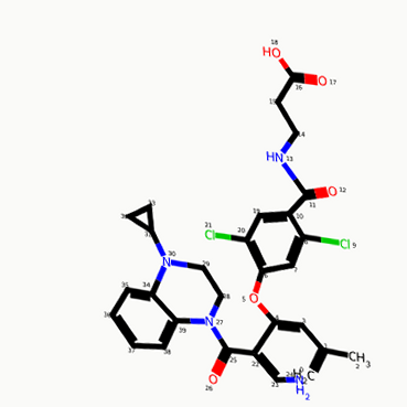 C=C(C)/C=C(Oc1cc(Cl)c(C(=O)NCCC(=O)O)cc1Cl)\C(=C/N)C(=O)N1CCN(C2CC2)c2ccccc21